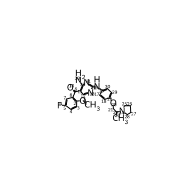 COc1ccc(F)cc1C(=O)c1cnc(Nc2ccc(OCC(C)N3CCCC3)cc2)nc1N